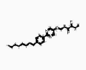 CCCCCCCCc1ccc(-c2ncc(OCCC(F)C(F)CC)cn2)cc1